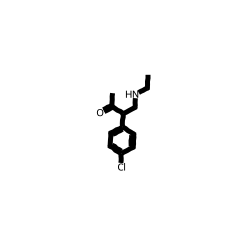 CCNCC(C(C)=O)c1ccc(Cl)cc1